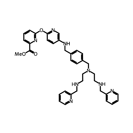 COC(=O)c1cccc(Oc2ccc(NCc3ccc(CN(CCNCc4ccccn4)CCNCc4ccccn4)cc3)cn2)n1